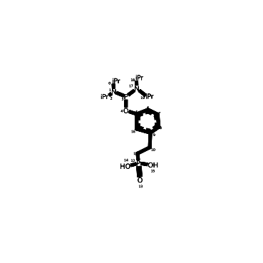 CC(C)N(C(C)C)P(Oc1cccc(CCP(=O)(O)O)c1)N(C(C)C)C(C)C